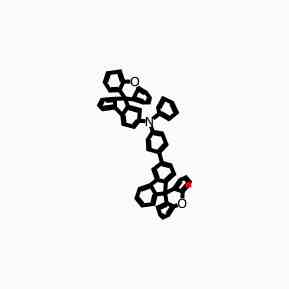 c1ccc(N(c2ccc(-c3ccc4c(c3)-c3ccccc3C43c4ccccc4Oc4ccccc43)cc2)c2ccc3c(c2)C2(c4ccccc4Oc4ccccc42)c2ccccc2-3)cc1